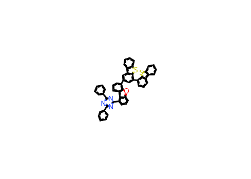 c1ccc(-c2nc(-c3ccccc3)nc(-c3cccc4oc5c(-c6cc(-c7cccc8c7sc7ccccc78)c7sc8ccccc8c7c6)cccc5c34)n2)cc1